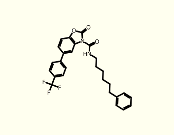 O=C(NCCCCCCc1ccccc1)n1c(=O)oc2ccc(-c3ccc(C(F)(F)F)cc3)cc21